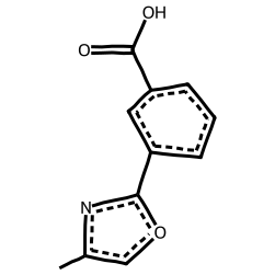 Cc1coc(-c2cccc(C(=O)O)c2)n1